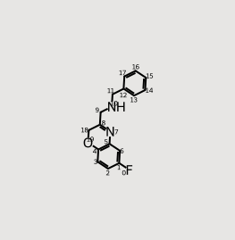 Fc1ccc2c(c1)N=C(CNCc1ccccc1)CO2